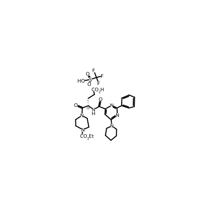 CCOC(=O)N1CCN(C(=O)[C@H](CCC(=O)O)NC(=O)c2cc(N3CCCCC3)nc(-c3ccccc3)n2)CC1.O=S(=O)(O)C(F)(F)F